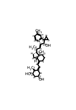 C=C1/C(=C\C=C2/CCC[C@]3(C)[C@@H]([C@H](C)/C=C/[C@@H](O)C4(c5cc(C)ccn5)CC4)CC[C@@H]23)C[C@@H](O)C[C@@H]1O